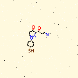 CN(C)C=CC(=O)c1nn(-c2ccc(S)cc2)ccc1=O